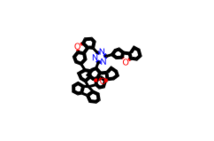 c1ccc2c(c1)-c1ccccc1C21c2ccccc2-c2cc(-c3ccc4oc5cccc(-c6nc(-c7ccc8c(c7)oc7ccccc78)nc(-c7cccc8oc9ccccc9c78)n6)c5c4c3)ccc21